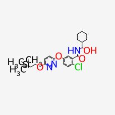 C[Si](C)(C)CCOc1ccc(Oc2ccc(Cl)c(C(=O)NC(O)C3CCCCC3)c2)nn1